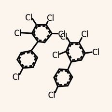 Clc1ccc(-c2cc(Cl)c(Cl)c(Cl)c2Cl)cc1.Clc1ccc(-c2cc(Cl)c(Cl)c(Cl)c2Cl)cc1